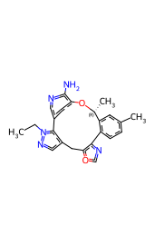 CCn1ncc2c1-c1cnc(N)c(c1)O[C@H](C)c1cc(C)ccc1-c1ncoc1C2